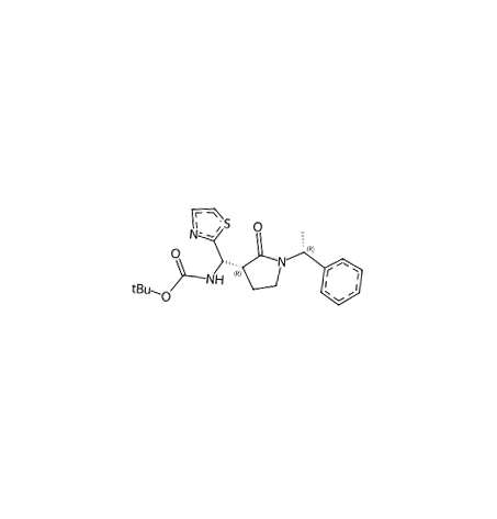 C[C@H](c1ccccc1)N1CC[C@H](C(NC(=O)OC(C)(C)C)c2nccs2)C1=O